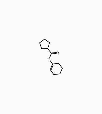 O=C(OC1=CCCCC1)C1CCCC1